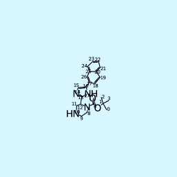 CC(C)(C)OC(=O)N1CCNCC1c1ncc(-c2ccc3ccccc3c2)[nH]1